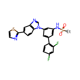 CCS(=O)(=O)Nc1cc(-c2ccc(F)cc2F)cc(-n2cnc3cc(-c4nccs4)ccc32)c1